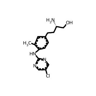 Cc1cc(CC[C@H](N)CO)ccc1Nc1ncc(Cl)cn1